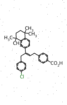 CC1(C)CCC(C)(C)c2cc(/C(=C\Cc3ccc(C(=O)O)cc3)Cc3ccc(Cl)cc3)ccc21